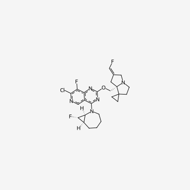 F/C=C1\CN2CCC3(CC3)[C@@]2(COc2nc(N3CCCC[C@H]4[C@H](F)[C@H]43)c3cnc(Cl)c(F)c3n2)C1